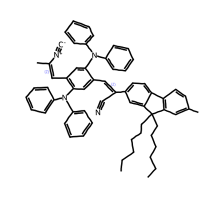 [C-]#[N+]/C(C)=C\c1cc(N(c2ccccc2)c2ccccc2)c(/C=C(\C#N)c2ccc3c(c2)C(CCCCCC)(CCCCCC)c2cc(C)ccc2-3)cc1N(c1ccccc1)c1ccccc1